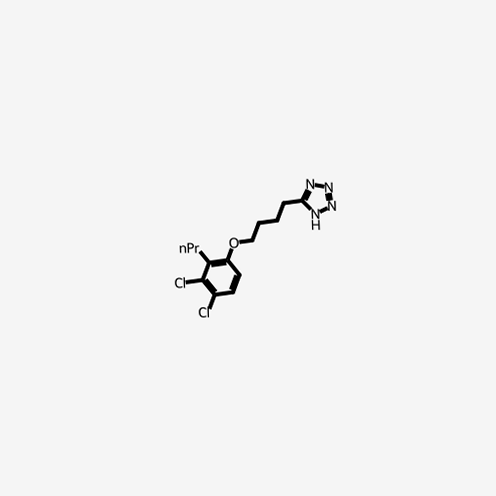 CCCc1c(OCCCCc2nnn[nH]2)ccc(Cl)c1Cl